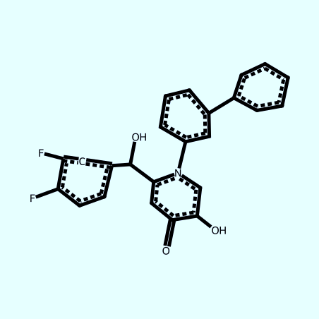 O=c1cc(C(O)c2ccc(F)c(F)c2)n(-c2cccc(-c3ccccc3)c2)cc1O